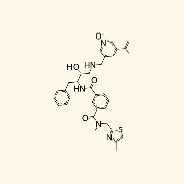 C=C(C)c1cc(CNC[C@@H](O)[C@H](Cc2ccccc2)NC(=O)c2cccc(C(=O)N(C)Cc3nc(C)cs3)c2)c[n+]([O-])c1